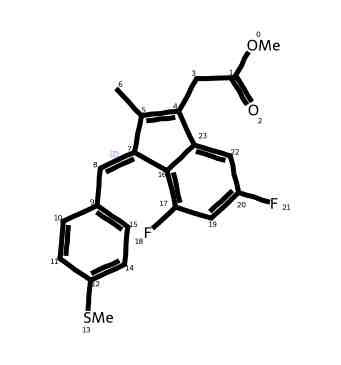 COC(=O)CC1=C(C)/C(=C/c2ccc(SC)cc2)c2c(F)cc(F)cc21